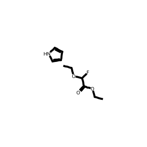 CCOC(=O)C(F)OCC.c1cc[nH]c1